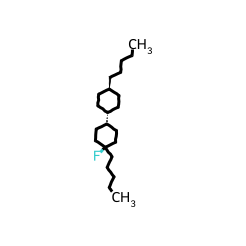 CCCCCC1(F)CCC([C@H]2CC[C@H](CCCCC)CC2)CC1